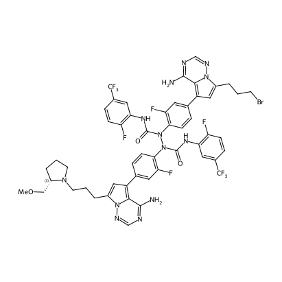 COC[C@@H]1CCCN1CCCc1cc(-c2ccc(N(C(=O)Nc3cc(C(F)(F)F)ccc3F)N(C(=O)Nc3cc(C(F)(F)F)ccc3F)c3ccc(-c4cc(CCCBr)n5ncnc(N)c45)cc3F)c(F)c2)c2c(N)ncnn12